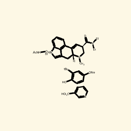 CC(=O)NO.CCN(CC)C(=O)[C@@H]1C=C2c3cccc4[nH]cc(c34)C[C@H]2N(C)C1.COc1ccc(O)c(C(C)(C)C)c1.O=C(O)c1cccnc1